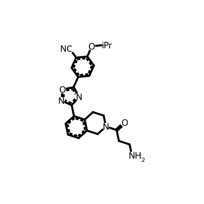 CC(C)Oc1ccc(-c2nc(-c3cccc4c3CCN(C(=O)CCN)C4)no2)cc1C#N